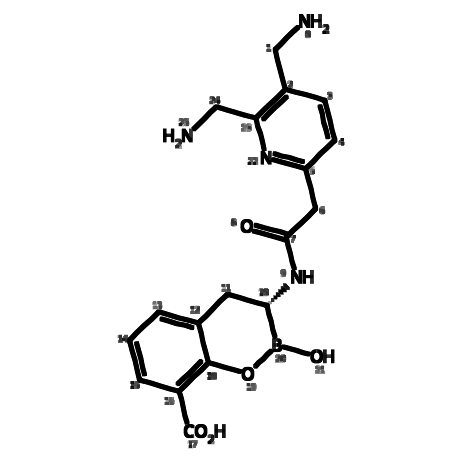 NCc1ccc(CC(=O)N[C@H]2Cc3cccc(C(=O)O)c3OB2O)nc1CN